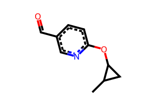 CC1CC1Oc1ccc(C=O)cn1